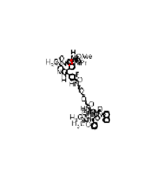 COC(=O)N[C@@H]1CC[C@@H](n2c(=O)n(C)c3cnc4[nH]c(-c5ccc(C(=O)NCCOCCOCCC(=O)N[C@H]6C[C@@H](C(=O)N[C@@H]7CCCc8ccccc87)N(C(=O)[C@@H](NC(=O)[C@H](C)N(C)C(=O)OC(C)(C)C)C7CCCCC7)C6)c(F)c5)c(-c5ccc6c(cnn6C(C)C)c5)c4c32)C1